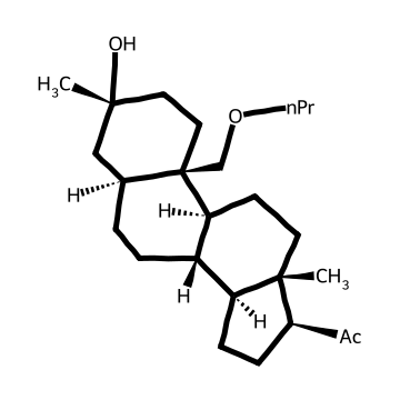 CCCOC[C@]12CC[C@@](C)(O)C[C@@H]1CC[C@H]1[C@@H]3CC[C@H](C(C)=O)[C@@]3(C)CC[C@@H]12